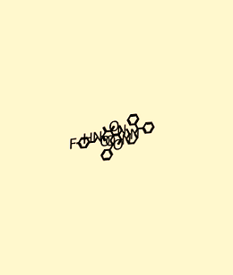 C=C(C(=O)NCc1ccc(F)cc1)C(=O)/C(OCc1ccccc1)=C1/C(=O)N2CCCN(C(c3ccccc3)c3ccccc3)C2CN1C